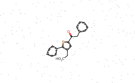 O=C(O)Cc1cc(C(=O)Cc2ccccc2)sc1-c1ccccc1